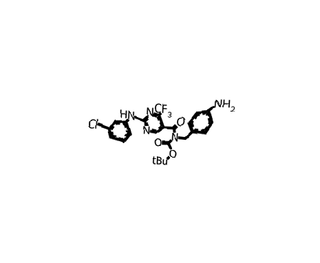 CC(C)(C)OC(=O)N(Cc1ccc(N)cc1)C(=O)c1cnc(Nc2cccc(Cl)c2)nc1C(F)(F)F